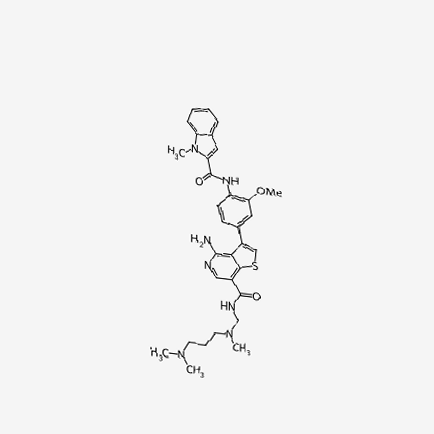 COc1cc(-c2csc3c(C(=O)NCN(C)CCCN(C)C)cnc(N)c23)ccc1NC(=O)c1cc2ccccc2n1C